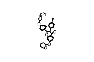 CCCN1CC(Oc2ccc(C3Oc4cc(OC5CCCCO5)ccc4C(=O)C3c3ccc(F)cc3)cc2)C1